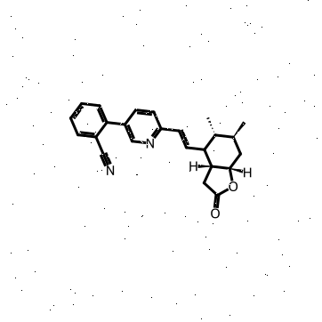 C[C@H]1C[C@@H]2OC(=O)C[C@@H]2C(/C=C/c2ccc(-c3ccccc3C#N)cn2)[C@@H]1C